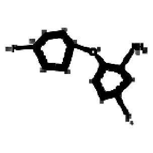 Nc1cc(F)ccc1Oc1ccc(F)cc1